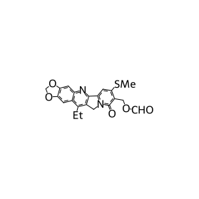 CCc1c2c(nc3cc4c(cc13)OCO4)-c1cc(SC)c(COC=O)c(=O)n1C2